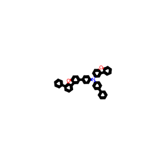 c1ccc(-c2ccc(N(c3ccc(-c4ccc5oc6c(-c7ccccc7)cccc6c5c4)cc3)c3ccc4oc5ccccc5c4c3)cc2)cc1